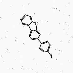 Ic1ccc(-c2ccc3c(c2)oc2ccccc23)cc1